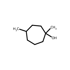 CC1CCCC(C)(O)CC1